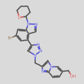 OCc1ccc2nc(Cn3cc(-c4cc(Br)cc5c4cnn5C4CCCCO4)nn3)cn2c1